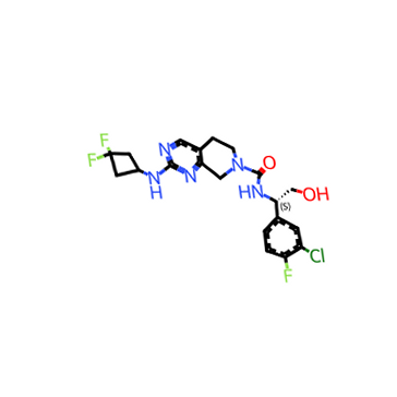 O=C(N[C@H](CO)c1ccc(F)c(Cl)c1)N1CCc2cnc(NC3CC(F)(F)C3)nc2C1